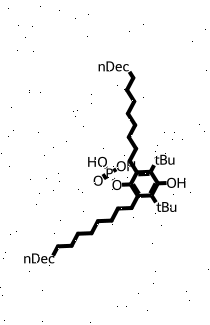 CCCCCCCCCCCCCCCCCCc1c(OP(=O)(O)O)c(CCCCCCCCCCCCCCCCCC)c(C(C)(C)C)c(O)c1C(C)(C)C